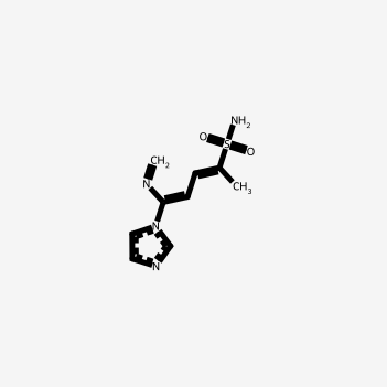 C=N/C(=C\C=C(/C)S(N)(=O)=O)n1ccnc1